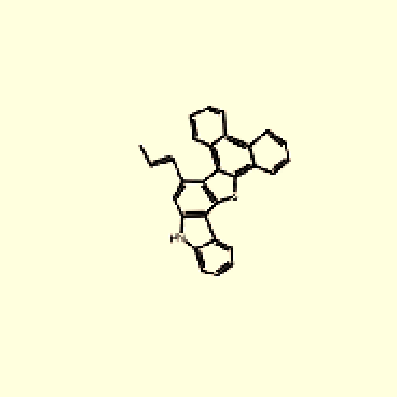 C/C=C/c1cc2[nH]c3ccccc3c2c2sc3c4ccccc4c4ccccc4c3c12